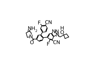 N#Cc1ccc(-c2cc(C(=O)N3CC[C@H](N)C3)ccc2-c2cc3nnn(CC4(O)CCC4)c3c(C#N)c2F)cc1F